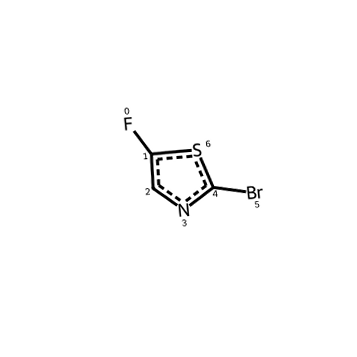 Fc1cnc(Br)s1